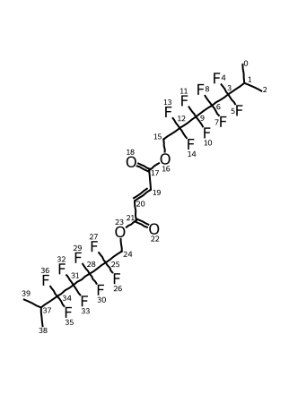 CC(C)C(F)(F)C(F)(F)C(F)(F)C(F)(F)COC(=O)/C=C/C(=O)OCC(F)(F)C(F)(F)C(F)(F)C(F)(F)C(C)C